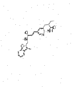 CCC1Cc2cc(/C=C/C(=O)N(C)Cc3oc4ccccc4c3C)cnc2NC1=O